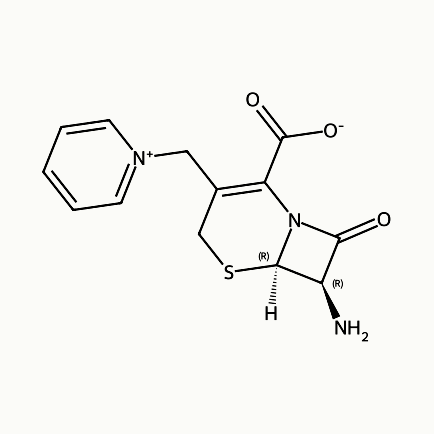 N[C@@H]1C(=O)N2C(C(=O)[O-])=C(C[n+]3ccccc3)CS[C@H]12